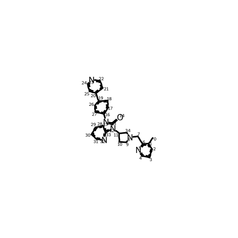 Cc1cccnc1CN1CCC(n2c(=O)n(-c3ccc(-c4ccncc4)cc3)c3cccnc32)C1